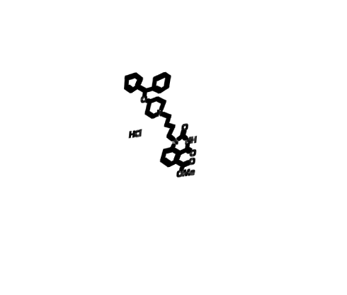 COC(=O)c1cccc2c1c(=O)[nH]c(=O)n2CCCCN1CCC(OC(c2ccccc2)c2ccccc2)CC1.Cl